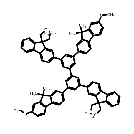 CCC1(CC)c2ccccc2-c2ccc(-c3cc(-c4cc(-c5ccc6c(c5)C(C)(C)c5cc(OC)ccc5-6)cc(-c5ccc6c(c5)C(CC)(CC)c5ccccc5-6)c4)cc(-c4ccc5c(c4)C(C)(C)c4cc(OC)ccc4-5)c3)cc21